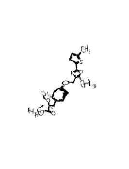 CCO[C@@](CC)(Cc1ccc(OCc2nc(-c3ccc(C)s3)oc2C)cc1)C(=O)O